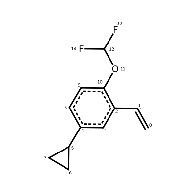 C=[C]c1cc(C2CC2)ccc1OC(F)F